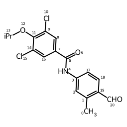 Cc1cc(NC(=O)c2cc(Cl)c(OC(C)C)c(Cl)c2)ccc1C=O